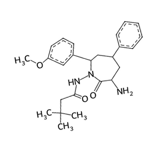 COc1cccc(C2CC(c3ccccc3)CC(N)C(=O)N2NC(=O)CC(C)(C)C)c1